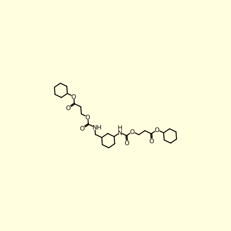 O=C(CCOC(=O)NCC1CCCC(NC(=O)OCCC(=O)OC2CCCCC2)C1)OC1CCCCC1